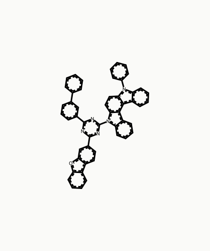 c1ccc(-c2cccc(-c3nc(-c4ccc5c(c4)oc4ccccc45)nc(-n4c5ccccc5c5c6c7ccccc7n(-c7ccccc7)c6ccc54)n3)c2)cc1